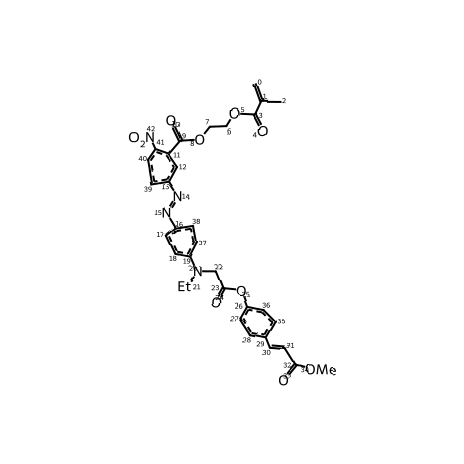 C=C(C)C(=O)OCCOC(=O)c1cc(/N=N/c2ccc(N(CC)CC(=O)Oc3ccc(/C=C/C(=O)OC)cc3)cc2)ccc1[N+](=O)[O-]